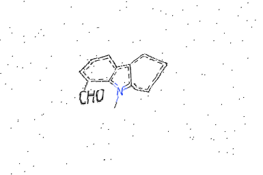 Cn1c2ccccc2c2c[c]cc(C=O)c21